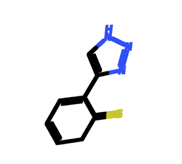 S=C1CC=CC=C1c1c[nH]nn1